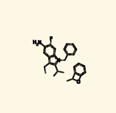 CC1Oc2ccccc21.CCc1c(C(C)C)n(Cc2ccccc2)c2cc(F)c(N)cc12